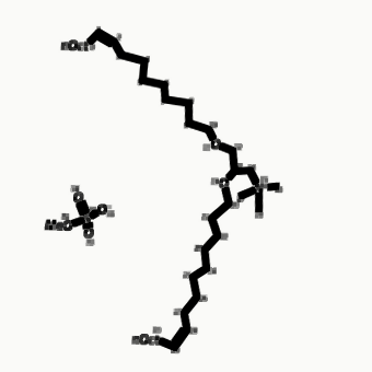 CCCCCCCC/C=C\CCCCCCCCOCC(C[N+](C)(C)C)OCCCCCCCC/C=C\CCCCCCCC.COS(=O)(=O)[O-]